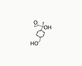 C[C@@](O)(c1ccc(CO)cc1)C1CO1